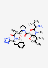 CC[C@H](C)[C@@H]([C@@H](CC(=O)N1CCC[C@H]1[C@H](OC)[C@@H](C)C(=O)N[C@@H](Cc1ccccc1)c1nnn[nH]1)OC)N(C)C(=O)[C@@H](N)C(C)C